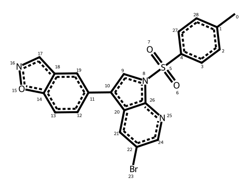 Cc1ccc(S(=O)(=O)n2cc(-c3ccc4oncc4c3)c3cc(Br)cnc32)cc1